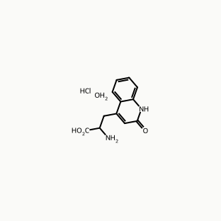 Cl.NC(Cc1cc(=O)[nH]c2ccccc12)C(=O)O.O